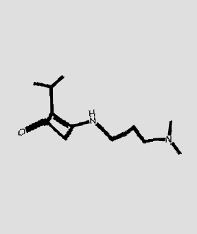 CC(C)C1=C(NCCCN(C)C)CC1=O